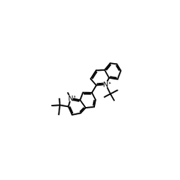 C[n+]1c(C(C)(C)C)ccc2ccc(-c3ccc4ccccc4[n+]3C(C)(C)C)cc21